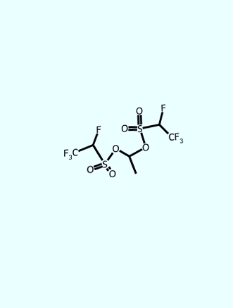 CC(OS(=O)(=O)C(F)C(F)(F)F)OS(=O)(=O)C(F)C(F)(F)F